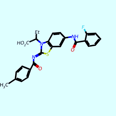 CCC(C(=O)O)n1/c(=N/C(=O)c2ccc(C)cc2)sc2cc(NC(=O)c3ccccc3F)ccc21